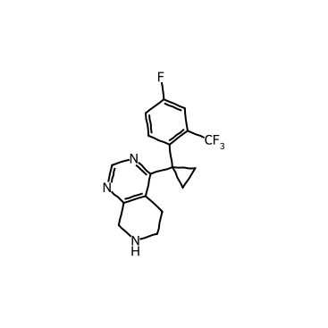 Fc1ccc(C2(c3ncnc4c3CCNC4)CC2)c(C(F)(F)F)c1